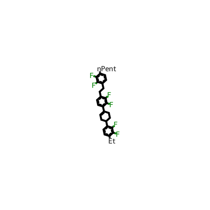 CCCCCc1ccc(CCc2ccc(C3=CCC(c4ccc(CC)c(F)c4F)CC3)c(F)c2F)c(F)c1F